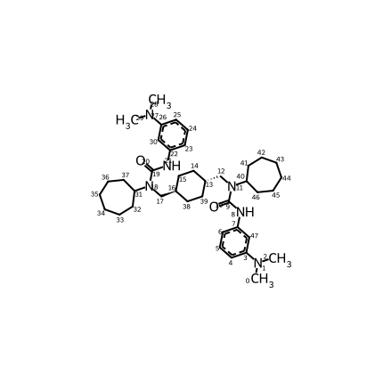 CN(C)c1cccc(NC(=O)N(C[C@H]2CC[C@H](CN(C(=O)Nc3cccc(N(C)C)c3)C3CCCCCC3)CC2)C2CCCCCC2)c1